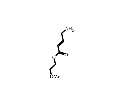 COCCOC(=O)C=CCN